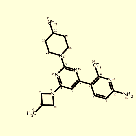 CC1CN(c2cc(-c3ccc(N)nc3C(F)(F)F)nc(N3CCC(N)CC3)n2)C1